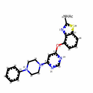 CC(=O)Nc1nc2c(Oc3cc(N4CCN(c5ccccc5)CC4)ncn3)cccc2s1